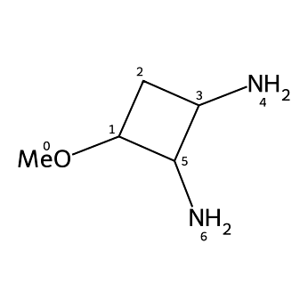 COC1CC(N)C1N